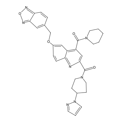 O=C(c1cc(C(=O)N2CCCCC2)c2cc(OCc3ccc4nonc4c3)ccc2n1)N1CCC(n2cccn2)CC1